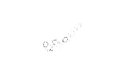 CN1CCN(C2CCN(c3ccc(Nc4nccc(Nc5ccccc5N(C)[S+](C)[O-])n4)cc3F)CC2)CC1